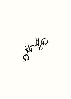 O=C(NCCc1nc(-c2ccccc2)co1)N1CCCCC1